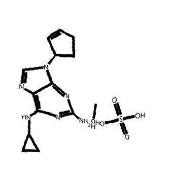 CO.Nc1nc(NC2CC2)c2ncn([C@H]3C=CCC3)c2n1.O=S(=O)(O)O